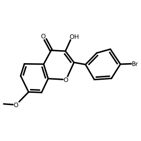 COc1ccc2c(=O)c(O)c(-c3ccc(Br)cc3)oc2c1